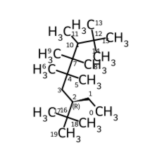 CC[C@H](CC(C)(C)C(C)(C)[C](C)C(C)(C)C)C(C)(C)C